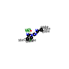 COc1cc(-c2cncc(CN3CCC(N(Cc4cncc(-c5cc(OC)c(OC)c(OC)c5)c4)c4ccc(F)cc4)CC3)c2)cc(OC)c1OC.Cl.Cl.Cl